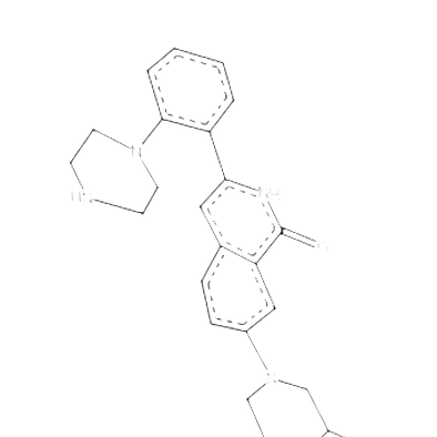 O=c1[nH]c(-c2ccccc2N2CCNCC2)cc2ccc(N3CCCC(O)C3)cc12